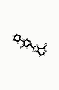 O=C1N=CC=C2N=C(c3ccc(-c4ccccc4)c(F)c3)N=C12